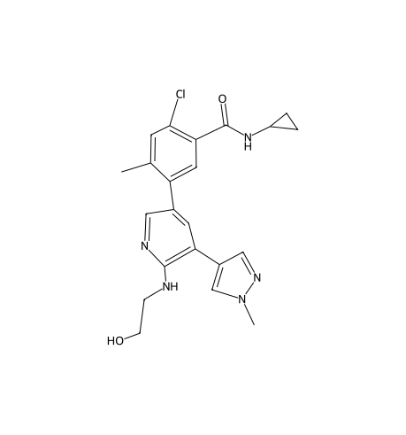 Cc1cc(Cl)c(C(=O)NC2CC2)cc1-c1cnc(NCCO)c(-c2cnn(C)c2)c1